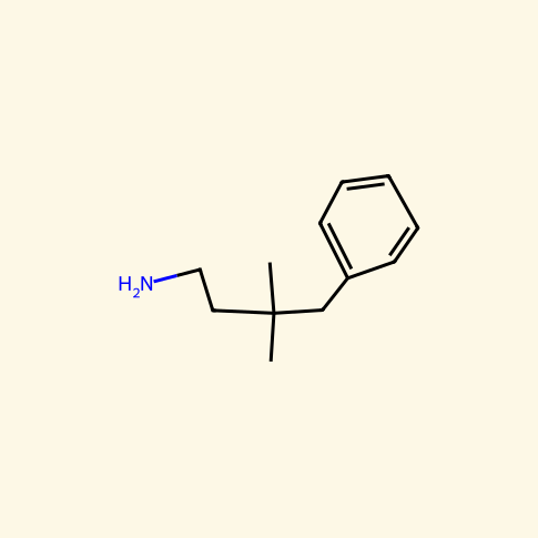 CC(C)(CCN)Cc1ccccc1